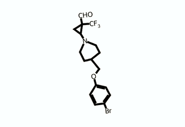 O=CC1(C(F)(F)F)CC1N1CCC(COc2ccc(Br)cc2)CC1